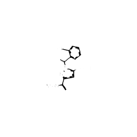 C=C(NC)c1cc(C(=O)O)n(C(C)c2ccccc2Cl)n1